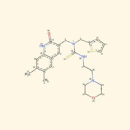 Cc1cc2cc(CN(Cc3cccs3)C(=S)NCCN3CCOCC3)c(=O)[nH]c2cc1C